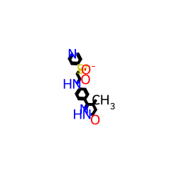 CC1CC(=O)NN=C1c1ccc(NC(=O)C[S+]([O-])c2ccncc2)cc1